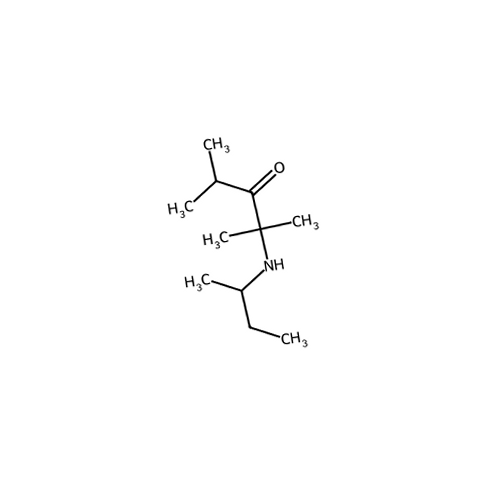 CCC(C)NC(C)(C)C(=O)C(C)C